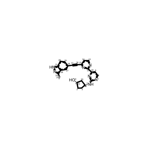 O[C@H]1CC[C@@H](Nc2nccc(-c3nccc(C#Cc4ccc5[nH]nc(F)c5c4)n3)n2)C1